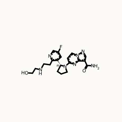 NC(=O)c1cnn2ccc(N3CCC[C@@H]3c3cc(F)cnc3CCNCCO)nc12